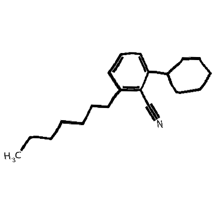 CCCCCCCc1cccc(C2CCCCC2)c1C#N